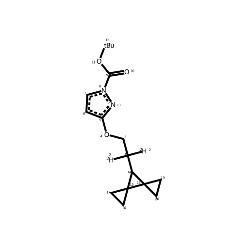 [2H]C([2H])(COc1ccn(C(=O)OC(C)(C)C)n1)C1C2(CC2)C12CC2